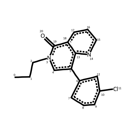 CCCn1cc(-c2cccc(Cl)c2)c2ncccc2c1=O